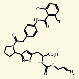 C=CCOC(=O)NC(Cc1cc(C2CCCN2C(=O)Cc2ccc(NC(=O)c3c(Cl)cccc3Cl)cc2)no1)C(=O)O